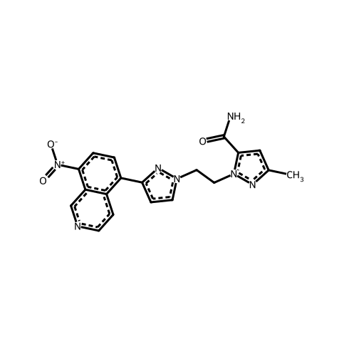 Cc1cc(C(N)=O)n(CCn2ccc(-c3ccc([N+](=O)[O-])c4cnccc34)n2)n1